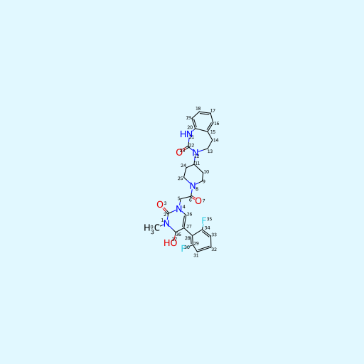 CN1C(=O)N(CC(=O)N2CCC(N3CCc4ccccc4NC3=O)CC2)C=C(c2c(F)cccc2F)C1O